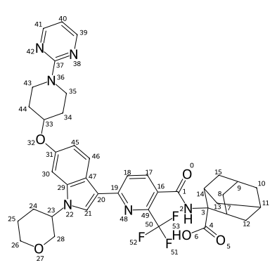 O=C(NC1(C(=O)O)C2CC3CC(C2)CC1C3)c1ccc(-c2cn(C3CCCOC3)c3cc(OC4CCN(c5ncccn5)CC4)ccc23)nc1C(F)(F)F